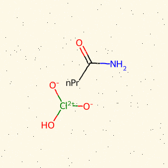 CCCC(N)=O.[O-][Cl+2]([O-])O